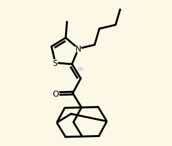 CCCCN1C(C)=CS/C1=C\C(=O)C12CC3CC(CC(C3)C1)C2